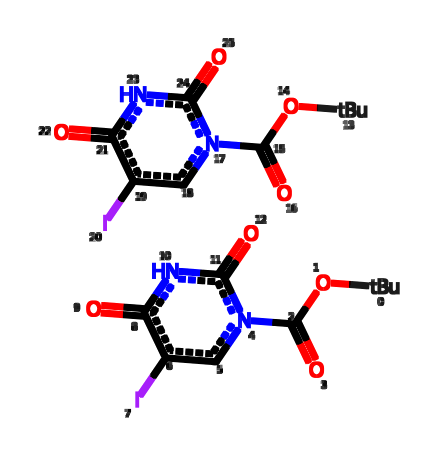 CC(C)(C)OC(=O)n1cc(I)c(=O)[nH]c1=O.CC(C)(C)OC(=O)n1cc(I)c(=O)[nH]c1=O